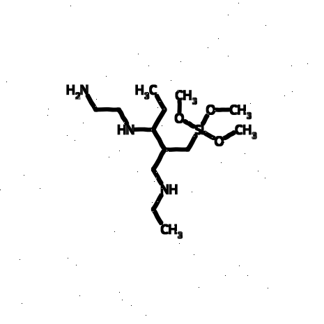 CCNCC(C[Si](OC)(OC)OC)C(CC)NCCN